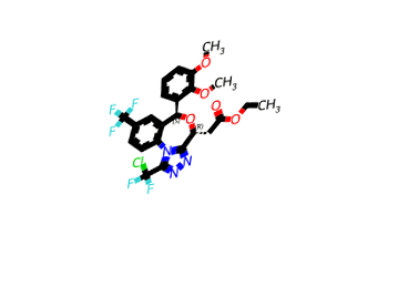 CCOC(=O)C[C@H]1O[C@H](c2cccc(OC)c2OC)c2cc(C(F)(F)F)ccc2-n2c1nnc2C(F)(F)Cl